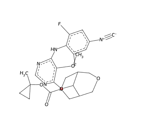 [C-]#[N+]c1cc(F)c(Nc2ncnc(OC3C4COCC3CN(C(=O)OC3(C)CC3)C4)c2OC)c(F)c1